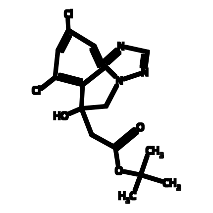 CC(C)(C)OC(=O)CC(O)(Cn1cncn1)c1ccc(Cl)cc1Cl